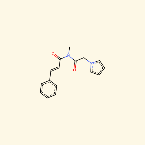 CN(C(=O)/C=C/c1ccccc1)C(=O)Cn1cccc1